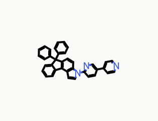 c1ccc(C2(c3ccccc3)c3ccccc3-c3c2ccc2c3ccn2-c2ccc(-c3ccncc3)cn2)cc1